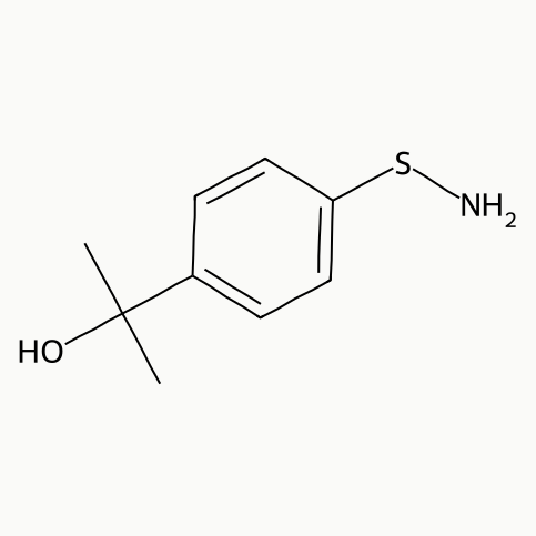 CC(C)(O)c1ccc(SN)cc1